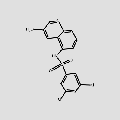 Cc1cnc2cccc(NS(=O)(=O)c3cc(Cl)cc(Cl)c3)c2c1